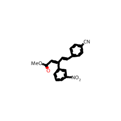 COC(=O)/C=C(/C=C/c1ccc(C#N)cc1)c1cccc([N+](=O)[O-])c1